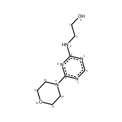 OCCNc1ncnc(N2CCOCC2)n1